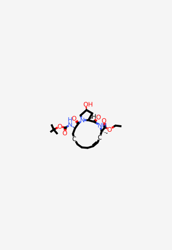 CCOC(=O)[C@@]1(C)C/C=C\CCCCC[C@H](NC(=O)OC(C)(C)C)C(=O)N2C[C@@H](O)C[C@H]2C(=O)N1